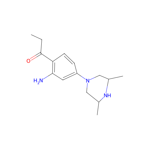 CCC(=O)c1ccc(N2CC(C)NC(C)C2)cc1N